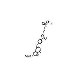 COc1cnc2c(c1)CN(Cc1ccc(C(=O)OCCCCO[N+](C)=O)cc1)CCS2